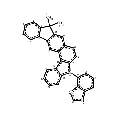 CC1(C)c2ccccc2-c2cc3c(ccc4c3c3ccccc3n4-c3cccc4ncoc34)cc21